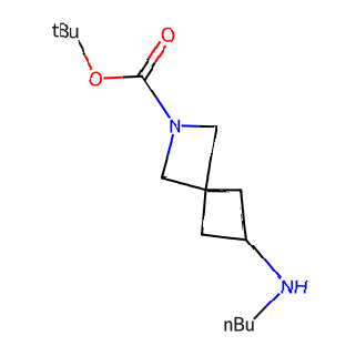 CCCCNC1CC2(C1)CN(C(=O)OC(C)(C)C)C2